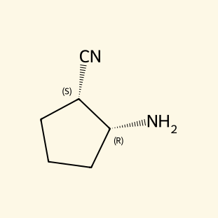 N#C[C@H]1CCC[C@H]1N